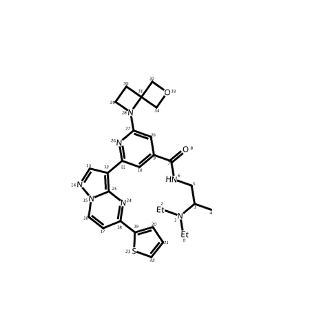 CCN(CC)C(C)CNC(=O)c1cc(-c2cnn3ccc(-c4cccs4)nc23)nc(N2CCC23COC3)c1